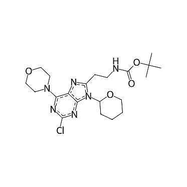 CC(C)(C)OC(=O)NCCc1nc2c(N3CCOCC3)nc(Cl)nc2n1C1CCCCO1